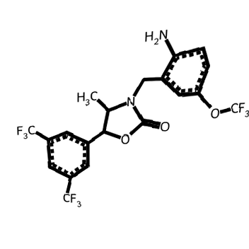 CC1C(c2cc(C(F)(F)F)cc(C(F)(F)F)c2)OC(=O)N1Cc1cc(OC(F)(F)F)ccc1N